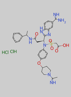 CC(=N)N1CCC(Oc2ccc(N([C@@H](CC(=O)NC(C)c3ccccc3)c3nc4cc(C(=N)N)ccc4[nH]3)S(=O)(=O)CC(=O)O)cc2)CC1.Cl.Cl